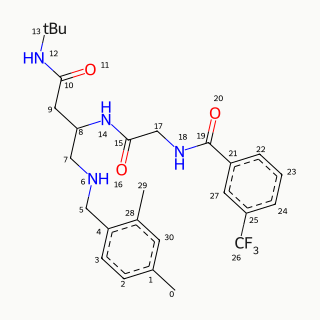 Cc1ccc(CNCC(CC(=O)NC(C)(C)C)NC(=O)CNC(=O)c2cccc(C(F)(F)F)c2)c(C)c1